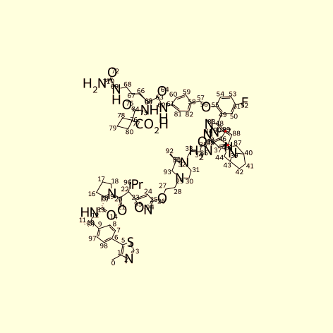 Cc1ncsc1-c1ccc([C@H](C)NC(=O)[C@@H]2CCCN2C(=O)C(c2cc(OCCN3CCN(CCOc4cc(N5C6CCC5CN(c5cc(-c7cc(F)ccc7OCc7ccc(NC(=O)[C@H](CCCNC(N)=O)NC(=O)C8(C(=O)O)CCC8)cc7)nnc5N)C6)ccn4)[C@H](C)C3)no2)C(C)C)cc1